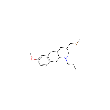 CCCN1CC(CSC)CC2Cc3cc(OC)ccc3CC21